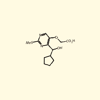 CSc1ncc(OCC(=O)O)c(C(O)C2CCCC2)n1